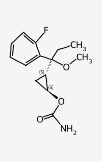 CCC(OC)(c1ccccc1F)[C@H]1C[C@@H]1OC(N)=O